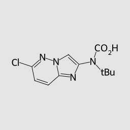 CC(C)(C)N(C(=O)O)c1cn2nc(Cl)ccc2n1